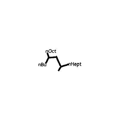 CCCCCCCCC([CH]C(C)CCCCCCC)CCCC